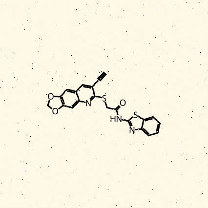 C#Cc1cc2cc3c(cc2nc1SCC(=O)Nc1nc2ccccc2s1)OCO3